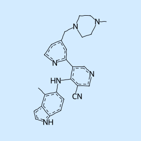 Cc1c(Nc2c(C#N)cncc2-c2cc(CN3CCN(C)CC3)ccn2)ccc2[nH]ccc12